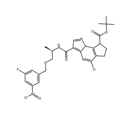 C[C@H](COCc1cc(F)cc([N+](=O)[O-])c1)NC(=O)c1cnn2c3c(c(Cl)nc12)CCN3C(=O)OC(C)(C)C